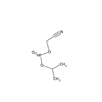 CC(C)O[PH](=O)OCC#N